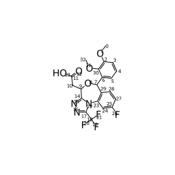 COc1cccc(C2OC(CC(=O)O)c3nnc(C(F)(F)F)n3-c3cc(F)ccc32)c1OC